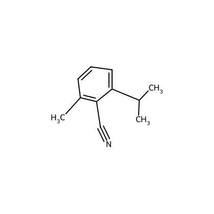 Cc1cccc(C(C)C)c1C#N